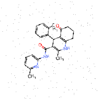 CC1=C(C(=O)Nc2cccc(C)n2)C(c2ccccc2C)C2=C(CCCC2=O)N1